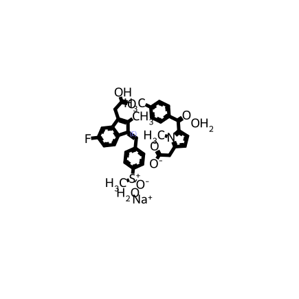 CC1=C(CC(=O)O)c2cc(F)ccc2/C1=C\c1ccc([S+](C)[O-])cc1.Cc1ccc(C(=O)c2ccc(CC(=O)[O-])n2C)cc1.O.O.[Na+]